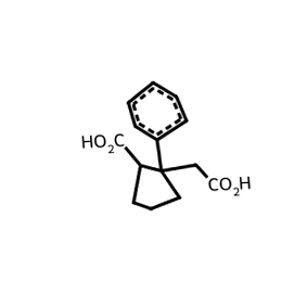 O=C(O)CC1(c2ccccc2)CCCC1C(=O)O